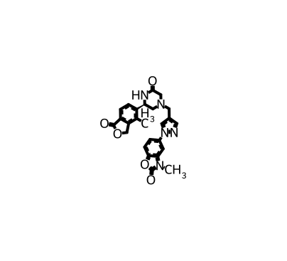 Cc1c([C@@H]2CN(Cc3cnn(-c4ccc5oc(=O)n(C)c5c4)c3)CC(=O)N2)ccc2c1COC2=O